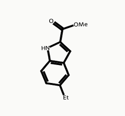 CCc1ccc2[nH]c(C(=O)OC)cc2c1